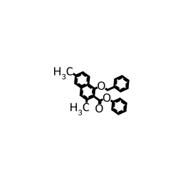 Cc1ccc2c(OCc3ccccc3)c(C(=O)Oc3ccccc3)c(C)cc2c1